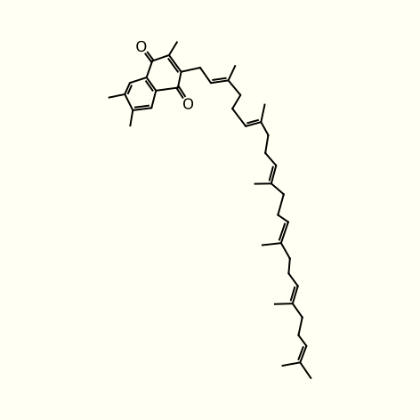 CC(C)=CCC/C(C)=C/CC/C(C)=C/CC/C(C)=C/CC/C(C)=C/CC/C(C)=C/CC1=C(C)C(=O)c2cc(C)c(C)cc2C1=O